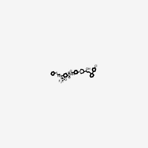 O=C(NS(=O)(=O)c1ccc(NCCSc2ccccc2)c(S(=O)(=O)C(F)(F)F)c1)c1ccc(N2CCC([C@@H](O)C=Cc3ccccc3-c3ccc(Cl)cc3)CC2)cc1